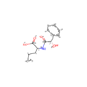 CCCC(NC(=O)[C@@H](O)c1ccccc1)C(=O)O